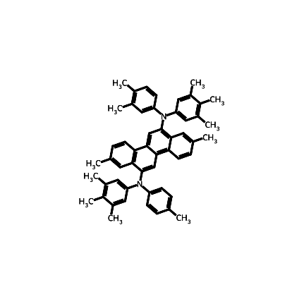 Cc1ccc(N(c2cc(C)c(C)c(C)c2)c2cc3c4ccc(C)cc4c(N(c4ccc(C)c(C)c4)c4cc(C)c(C)c(C)c4)cc3c3ccc(C)cc23)cc1